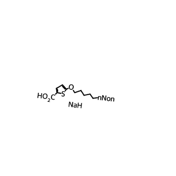 CCCCCCCCCCCCCCOc1ccc(C(=O)O)s1.[NaH]